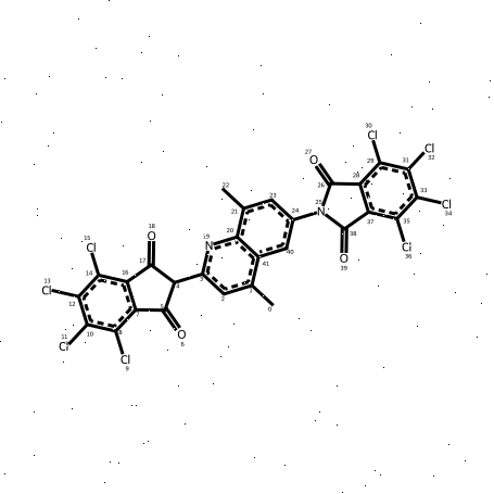 Cc1cc(C2C(=O)c3c(Cl)c(Cl)c(Cl)c(Cl)c3C2=O)nc2c(C)cc(N3C(=O)c4c(Cl)c(Cl)c(Cl)c(Cl)c4C3=O)cc12